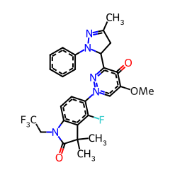 COc1cn(-c2ccc3c(c2F)C(C)(C)C(=O)N3CC(F)(F)F)nc(C2CC(C)=NN2c2ccccc2)c1=O